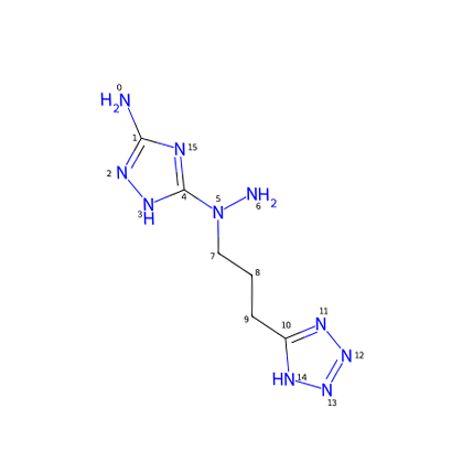 Nc1n[nH]c(N(N)CCCc2nnn[nH]2)n1